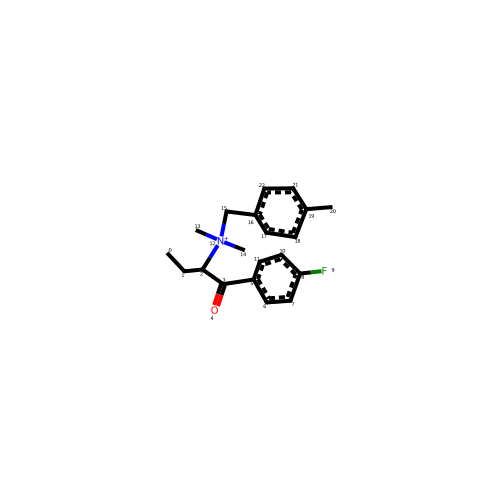 CCC(C(=O)c1ccc(F)cc1)[N+](C)(C)Cc1ccc(C)cc1